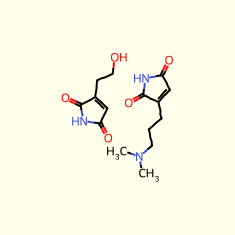 CN(C)CCCC1=CC(=O)NC1=O.O=C1C=C(CCO)C(=O)N1